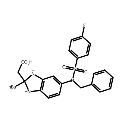 CCCCC1(CC(=O)O)Nc2ccc(N(Cc3ccccc3)S(=O)(=O)c3ccc(F)cc3)cc2N1